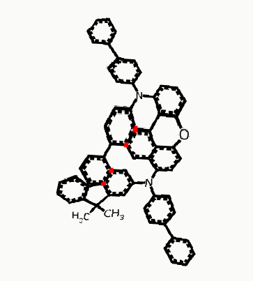 CC1(C)c2ccccc2-c2ccc(N(c3ccc(-c4ccccc4)cc3)c3ccc4c5c(cccc35)-c3c(cccc3N(c3ccc(-c5ccccc5)cc3)c3ccc(-c5ccccc5)cc3)O4)cc21